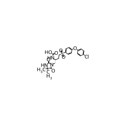 CC1(C)NC(=O)N(C[C@@H](CCS(=O)(=O)c2ccc(Oc3ccc(Cl)cc3)cc2)NC(=O)O)C1=O